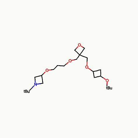 CC(C)(C)OC1CC(OCC2(COCCCOC3CN(C(C)(C)C)C3)COC2)C1